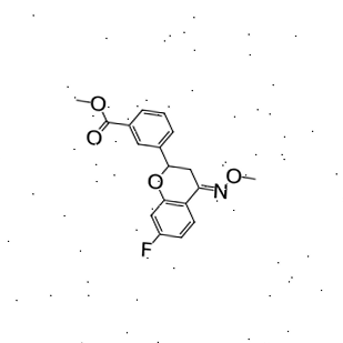 CON=C1CC(c2cccc(C(=O)OC)c2)Oc2cc(F)ccc21